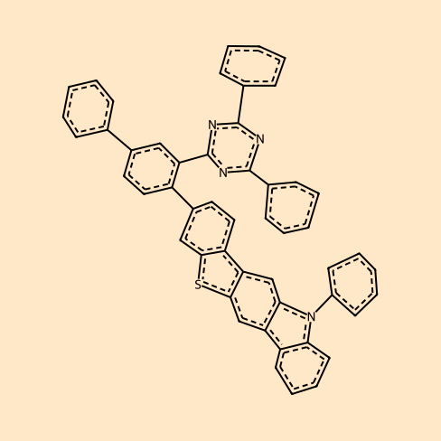 c1ccc(-c2ccc(-c3ccc4c(c3)sc3cc5c6ccccc6n(-c6ccccc6)c5cc34)c(-c3nc(-c4ccccc4)nc(-c4ccccc4)n3)c2)cc1